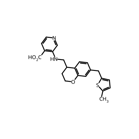 Cc1ccc(Cc2ccc3c(c2)OCCC3CNc2cnccc2C(=O)O)s1